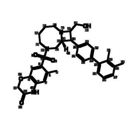 Cc1cc2c(cc1S(=O)(=O)N1CCCCN3C(CO)C(c4ccc(-c5cccc(C)c5C)cc4)[C@@H]3C1)OCC(=O)N2